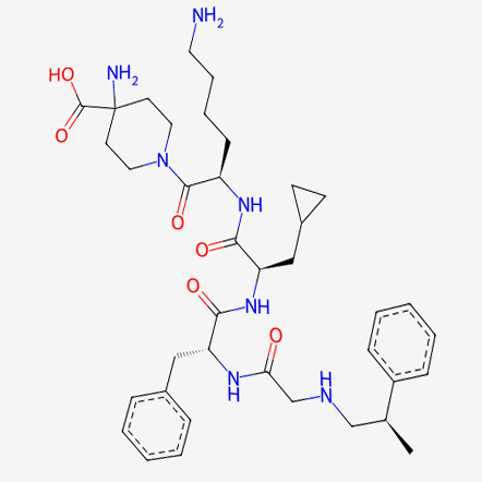 C[C@@H](CNCC(=O)N[C@H](Cc1ccccc1)C(=O)N[C@H](CC1CC1)C(=O)N[C@H](CCCCN)C(=O)N1CCC(N)(C(=O)O)CC1)c1ccccc1